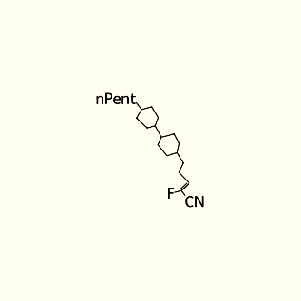 CCCCCC1CCC(C2CCC(CCC=C(F)C#N)CC2)CC1